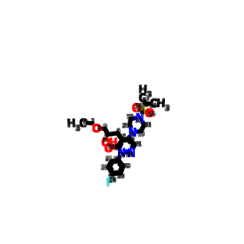 CCOC[C@@H](O)Cc1c(N2CCN(S(=O)(=O)C(C)C)CC2)cnn(-c2ccc(F)cc2)c1=O